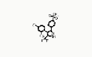 CS(=O)(=O)c1ccc(-c2n[nH]c(C(F)(F)F)c2-c2ccc(Cl)cc2Cl)cc1